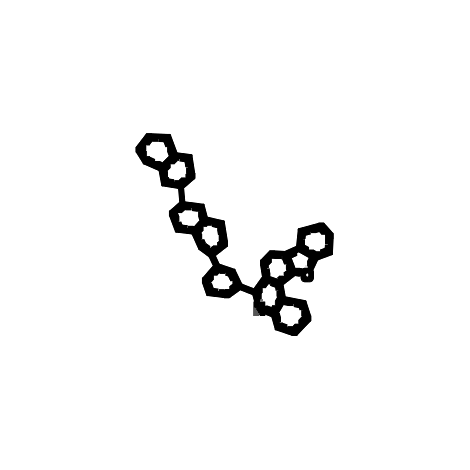 c1cc(-c2ccc3cc(-c4ccc5ccccc5c4)ccc3c2)cc(-c2nc3ccccc3c3c2ccc2c4ccccc4oc23)c1